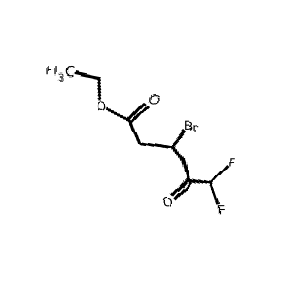 CCOC(=O)CC(Br)C(=O)C(F)F